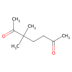 CC(=O)CCC(C)(C)C(C)=O